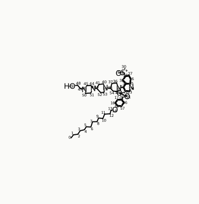 CCCCCCCCCCCCCCOc1ccc(S(=O)(=O)c2cnc3ccc([S+](C)[O-])cc3c2N2CCC(N3CCC(N4CCN(CCO)CC4)CC3)CC2)cc1